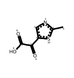 Cc1ncc(C(=O)C(=O)O)s1